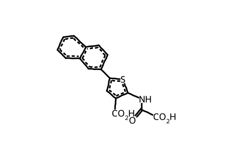 O=C(O)C(=O)Nc1sc(-c2ccc3ccccc3c2)cc1C(=O)O